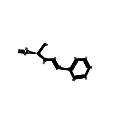 C[C@H](OC=Cc1ccccc1)C(=O)O